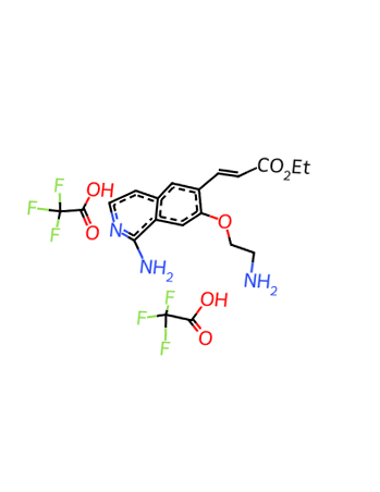 CCOC(=O)C=Cc1cc2ccnc(N)c2cc1OCCN.O=C(O)C(F)(F)F.O=C(O)C(F)(F)F